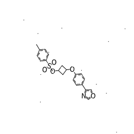 Cc1ccc(S(=O)(=O)OC2CC(Oc3ccc(-c4cocn4)cc3)C2)cc1